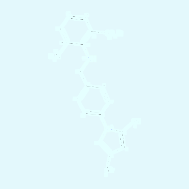 CCCc1cc(C#N)n(-c2ccc(CNc3c(C(=O)OCC)cccc3[N+](=O)[O-])cc2)c1